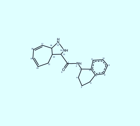 O=C(NC1CCCc2ccccc21)C1NNC2C=CC=CCC21